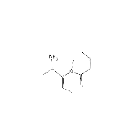 C=C(/C=C\C)N(C)/C(=C\C)C(C)N